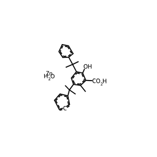 Cc1c(C(C)(C)c2ccccc2)cc(C(C)(C)c2ccccc2)c(O)c1C(=O)O.O.[Zn]